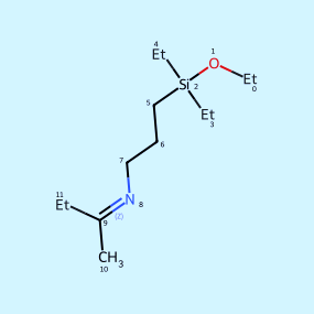 CCO[Si](CC)(CC)CCC/N=C(/C)CC